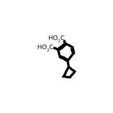 O=C(O)c1ccc(C2CCC2)cc1C(=O)O